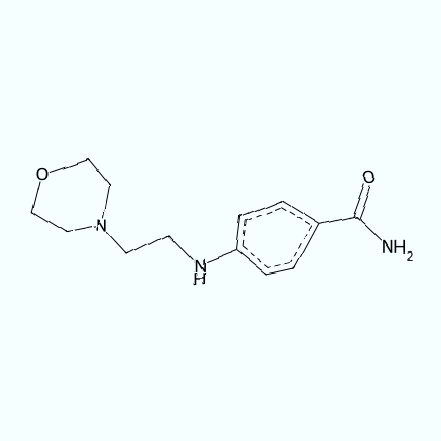 NC(=O)c1ccc(NCCN2CCOCC2)cc1